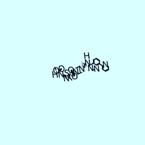 COC(=O)Nc1nc(C)c(S(=O)(=O)N2CCN(C[C@H](C)Nc3ncnc4c(-c5ccccn5)cccc34)CC2)s1